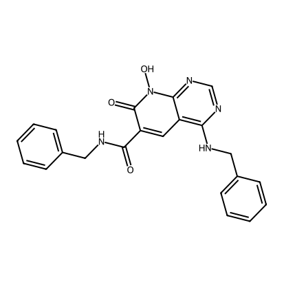 O=C(NCc1ccccc1)c1cc2c(NCc3ccccc3)ncnc2n(O)c1=O